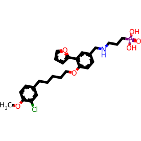 COc1ccc(CCCCCOc2ccc(CNCCCP(=O)(O)O)cc2-c2ccco2)cc1Cl